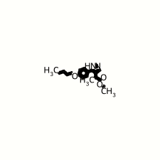 CCCCCOc1ccc(-c2[nH]ncc2C(C)C(=O)OCC)cc1